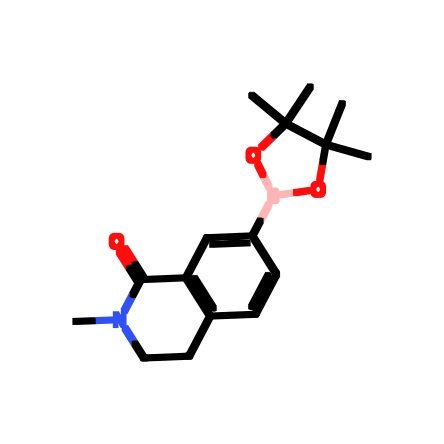 CN1CCc2ccc(B3OC(C)(C)C(C)(C)O3)cc2C1=O